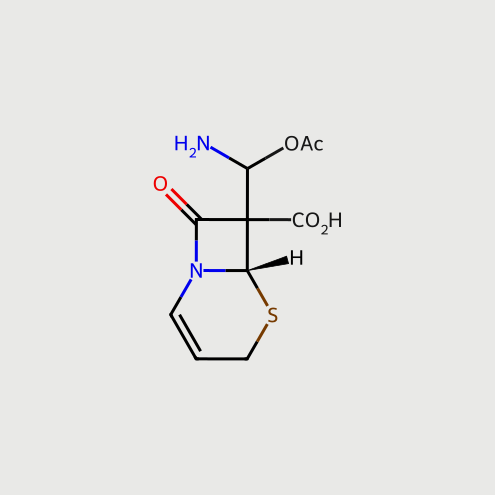 CC(=O)OC(N)C1(C(=O)O)C(=O)N2C=CCS[C@H]21